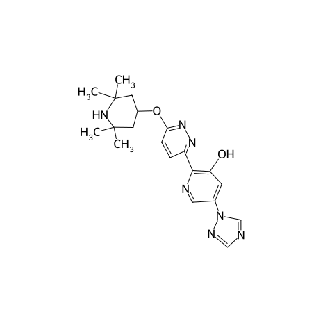 CC1(C)CC(Oc2ccc(-c3ncc(-n4cncn4)cc3O)nn2)CC(C)(C)N1